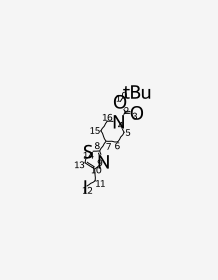 CC(C)(C)OC(=O)N1CCC(c2nc(CI)cs2)CC1